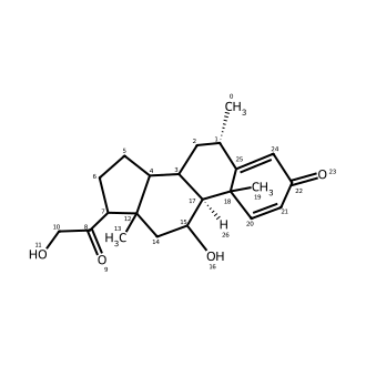 C[C@H]1CC2C3CCC(C(=O)CO)C3(C)CC(O)[C@@H]2C2(C)C=CC(=O)C=C12